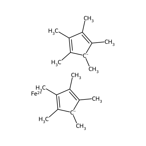 Cc1c(C)c(C)[c-](C)c1C.Cc1c(C)c(C)[c-](C)c1C.[Fe+2]